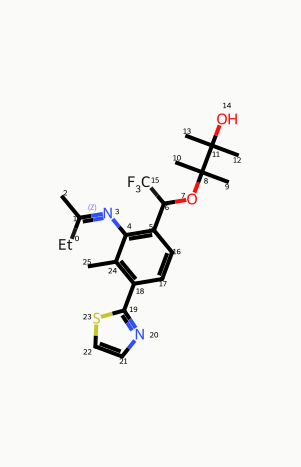 CC/C(C)=N\c1c(C(OC(C)(C)C(C)(C)O)C(F)(F)F)ccc(-c2nccs2)c1C